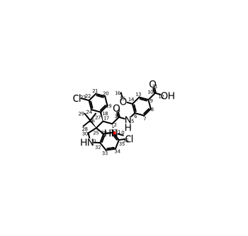 CN[C@@H](C(=O)Nc1ccc(C(=O)O)cc1OC)[C@H](c1cccc(Cl)c1)[C@@]1(C(C)(C)C)CNc2ccc(Cl)cc21